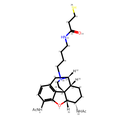 CC(=O)Nc1ccc2c3c1O[C@H]1[C@@H](NC(C)=O)CC[C@H]4[C@@H](C2)N(CCCCNC(=O)CCS)CC[C@@]341